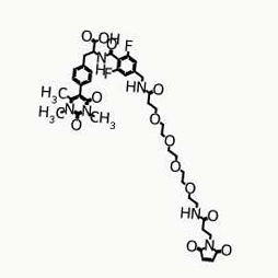 Cc1c(-c2ccc(CC(NC(=O)c3c(F)cc(CNC(=O)CCOCCOCCOCCOCCNC(=O)CCN4C(=O)C=CC4=O)cc3F)C(=O)O)cc2)c(=O)n(C)c(=O)n1C